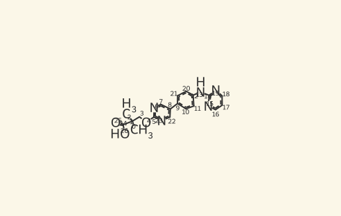 CC(C)(COc1ncc(-c2ccc(Nc3ncccn3)cc2)cn1)C(=O)O